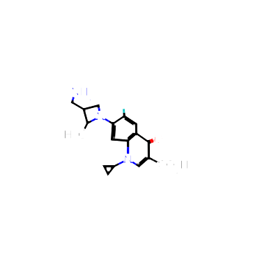 CC1C(CN)CN1c1cc2c(cc1F)c(=O)c(C(=O)O)cn2C1CC1